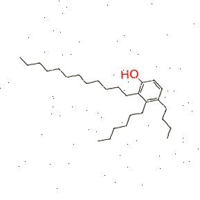 CCCCCCCCCCCCc1c(O)ccc(CCCC)c1CCCCCC